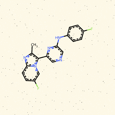 Cc1nc2ccc(F)cn2c1-c1cncc(Nc2ccc(F)cc2)n1